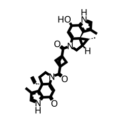 C=C[C@]12CCN(C(=O)C34CC(C(=O)N5C[C@H]6[C@@H](C)[C@@]67C5=CC(O)c5[nH]cc(C)c57)(C3)C4)C1=CC(=O)c1[nH]cc(C)c12